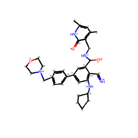 Cc1cc(C)c(CNC(O)c2cc(-c3ccc(CN4CCOCC4)cc3)cc(NC3CCCC3)c2C=N)c(=O)[nH]1